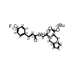 CC(C)(C)OC(=O)[C@H]1Cn2nccc2CN1C(=O)CNC(=O)/C=C/c1ccc(C(F)(F)F)cc1